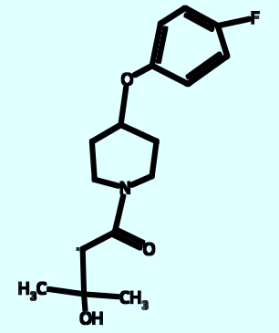 CC(C)(O)[CH]C(=O)N1CCC(Oc2ccc(F)cc2)CC1